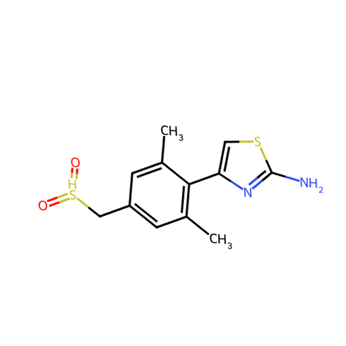 Cc1cc(C[SH](=O)=O)cc(C)c1-c1csc(N)n1